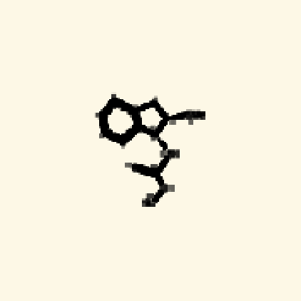 CO[C@@H]1Cc2ccccc2[C@H]1NC(=O)OC(C)(C)C